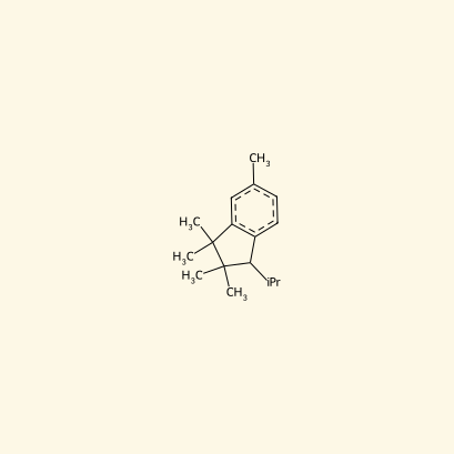 Cc1ccc2c(c1)C(C)(C)C(C)(C)C2C(C)C